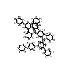 C1=CCC(c2ccc(-c3nc(-c4ccccc4)nc(-n4c5ccccc5c5cc6c7ccccc7n(-c7ccccc7-c7cc(-c8ccccc8)cc(-c8ccccc8)c7)c6cc54)n3)cc2)C=C1